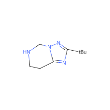 CC(C)(C)c1nc2n(n1)CNCC2